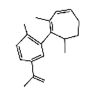 C=C(C)c1ccc(C)c(C2=C(C)C=CCCC2C)c1